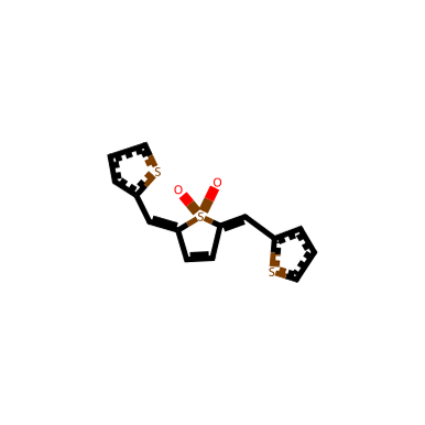 O=S1(=O)/C(=C\c2cccs2)C=C/C1=C\c1cccs1